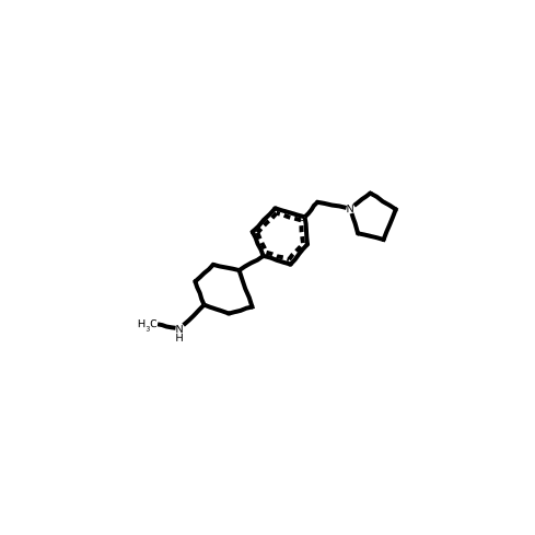 CNC1CCC(c2ccc(CN3CCCC3)cc2)CC1